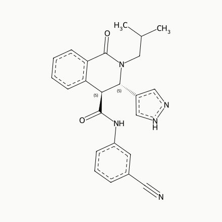 CC(C)CN1C(=O)c2ccccc2[C@H](C(=O)Nc2cccc(C#N)c2)[C@H]1c1cn[nH]c1